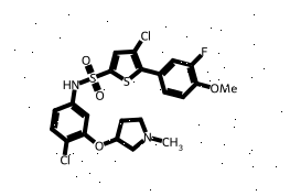 COc1ccc(-c2sc(S(=O)(=O)Nc3ccc(Cl)c(OC4CCN(C)C4)c3)cc2Cl)cc1F